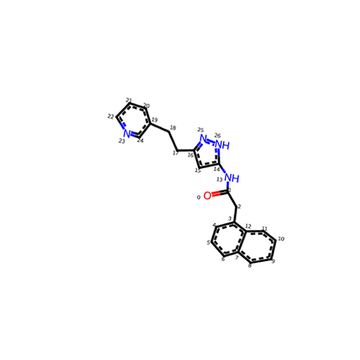 O=C(Cc1cccc2ccccc12)Nc1cc(CCc2cccnc2)n[nH]1